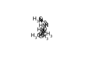 Cc1nc(NC(=O)CCNc2nccc3ccc(-c4cnn(C)c4)cc23)sc1C(=O)OC(C)C